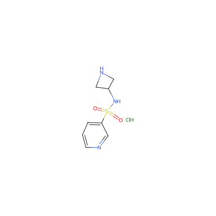 Cl.O=S(=O)(NC1CNC1)c1cccnc1